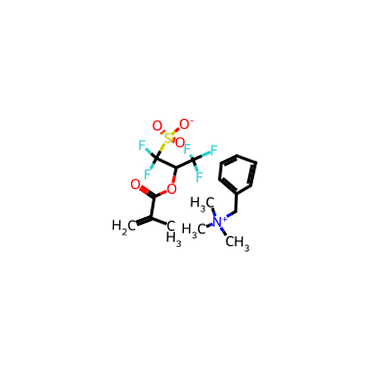 C=C(C)C(=O)OC(C(F)(F)F)C(F)(F)S(=O)(=O)[O-].C[N+](C)(C)Cc1ccccc1